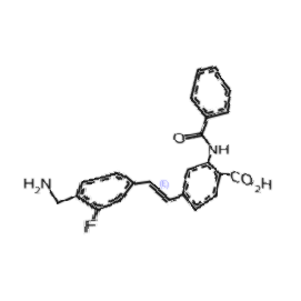 NCc1ccc(/C=C/c2ccc(C(=O)O)c(NC(=O)c3ccccc3)c2)cc1F